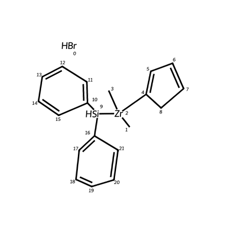 Br.[CH3][Zr]([CH3])([C]1=CC=CC1)[SiH](c1ccccc1)c1ccccc1